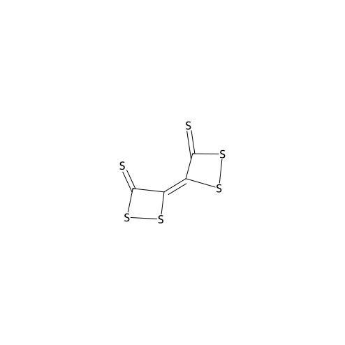 S=C1SS/C1=C1\SSC1=S